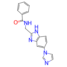 O=C(NCc1nc2cc(-n3ccnc3)ccc2[nH]1)c1ccccc1